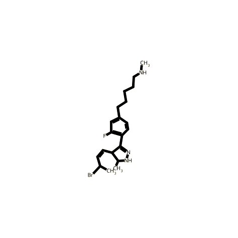 CNCCCCCc1ccc(C2=NNC(C)C2/C=C\C(C)Br)c(F)c1